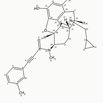 Cc1cccc(C#CC(=O)N(C)[C@@H]2CC[C@H]3[C@H]4Cc5c(C)cc(O)c6c5[C@@]3(CCN4CC3CC3)[C@H]2O6)c1